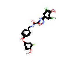 CCOc1ccc(Oc2ccc(CNC(=O)c3nc(-c4cc(Cl)c(O)c(Cl)c4)no3)cc2)cc1F